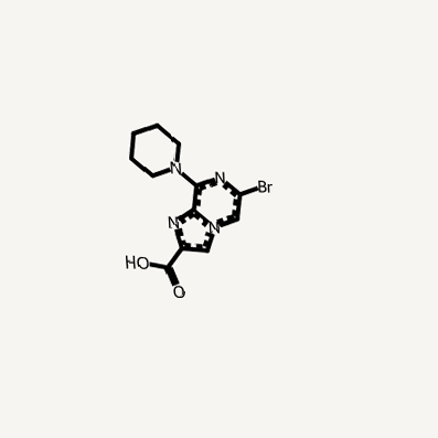 O=C(O)c1cn2cc(Br)nc(N3CCCCC3)c2n1